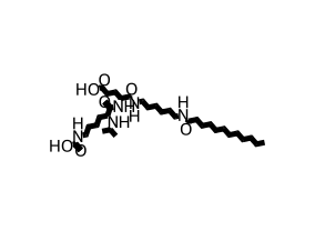 CCCCCCCCCCCC(=O)NCCCCCCNC(=O)C(CCC(=O)O)NC(=O)C(CCCCNC(=O)O)NC(C)C